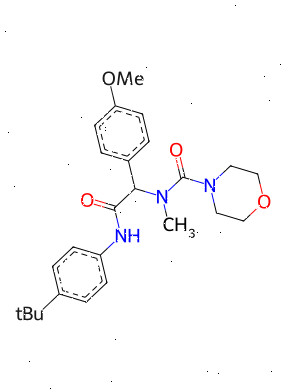 COc1ccc(C(C(=O)Nc2ccc(C(C)(C)C)cc2)N(C)C(=O)N2CCOCC2)cc1